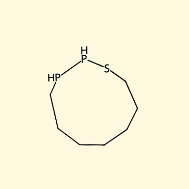 C1CCCPPSCCC1